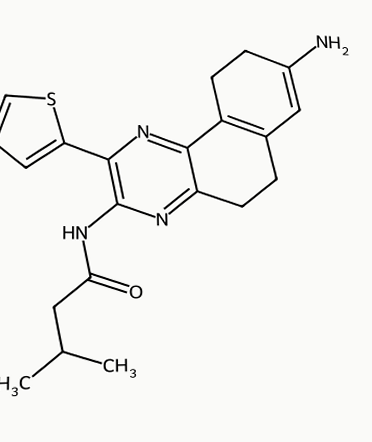 CC(C)CC(=O)Nc1nc2c(nc1-c1cccs1)C1=C(C=C(N)CC1)CC2